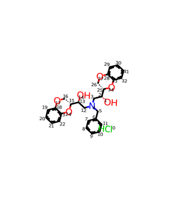 Cl.O[C@H](CN(Cc1ccccc1)C[C@H](O)[C@H]1COc2ccccc2O1)[C@@H]1COc2ccccc2O1